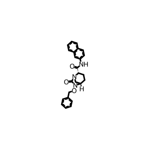 O=C(Nc1ccc2ccccc2c1)[C@@H]1CC[C@H]2CN1C(=O)N2OCc1ccccc1